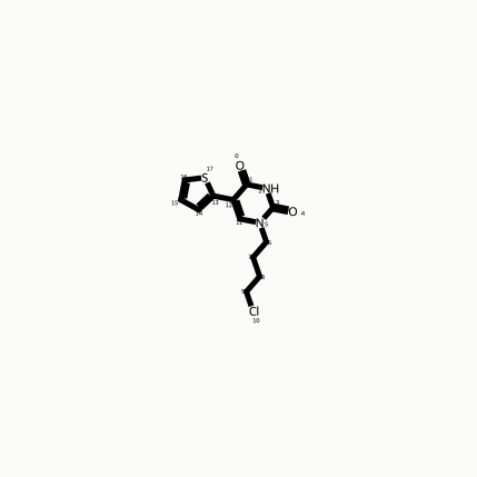 O=c1[nH]c(=O)n(CCCCCl)cc1-c1cccs1